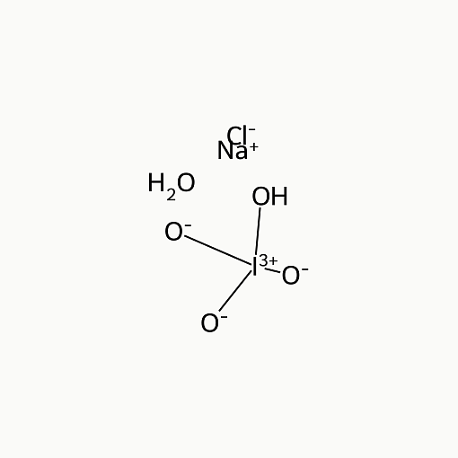 O.[Cl-].[Na+].[O-][I+3]([O-])([O-])O